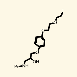 CC(C)NCC(O)COc1ccc(OCCOCCI)cc1